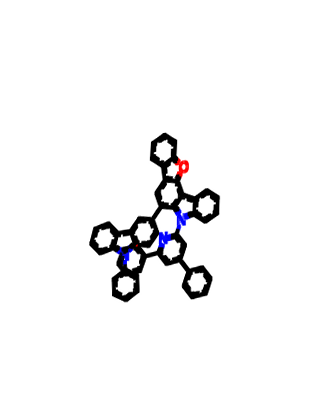 c1ccc(-c2cc(-c3ccccc3)nc(-n3c4ccccc4c4c5oc6ccccc6c5cc(-c5ccc6c(c5)c5ccccc5n6-c5ccccc5)c43)c2)cc1